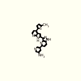 Cc1ccc(-c2ccnc3[nH]c(-c4n[nH]c5ccc(-c6cncc(N)c6)nc45)cc23)s1